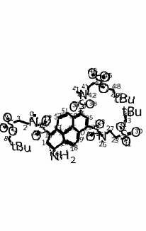 CN(CCS(=O)(=O)OCC(C)(C)C)S(=O)(=O)c1cc(N)c2ccc3c(S(=O)(=O)N(C)CCS(=O)(=O)OCC(C)(C)C)cc(S(=O)(=O)N(C)CCS(=O)(=O)OCC(C)(C)C)c4ccc1c2c34